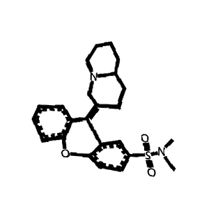 CN(C)S(=O)(=O)c1ccc2c(c1)/C(=C1\CCC3CCCCN3C1)c1ccccc1O2